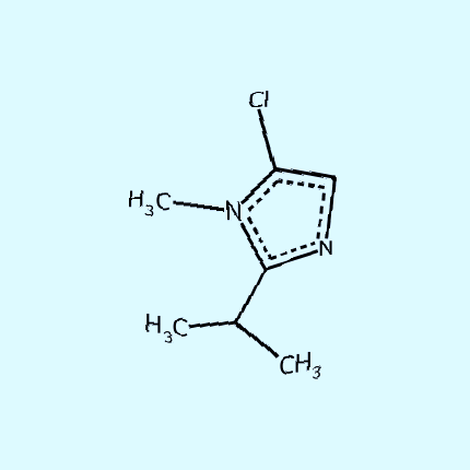 CC(C)c1ncc(Cl)n1C